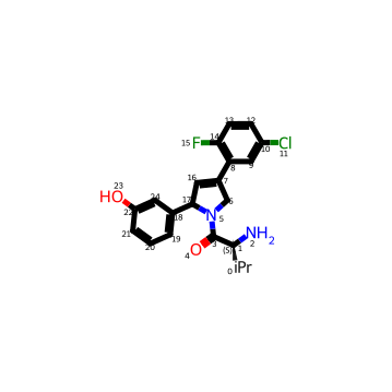 CC(C)[C@H](N)C(=O)N1CC(c2cc(Cl)ccc2F)=CC1c1cccc(O)c1